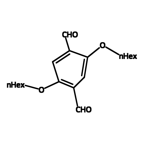 CCCCCCOc1cc(C=O)c(OCCCCCC)cc1C=O